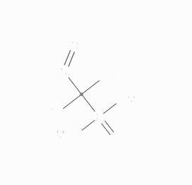 COP(=O)(OC)C(C)(N=N)C(C)=O